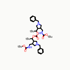 CC(C)(C)OC(=O)NCC1CN(Cc2ccccc2)CC1C(OC(=O)OC(C1CN(Cc2ccccc2)CC1CNC(=O)OC(C)(C)C)C(C)(C)C)C(C)(C)C